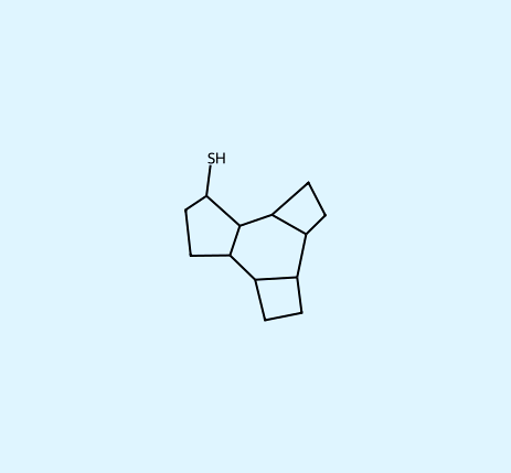 SC1CCC2C3CCC3C3CCC3C12